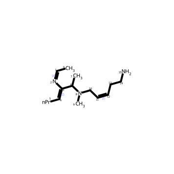 C/C=N\C(=C/CCC)C(C)N(C)C/C=C\CCN